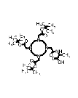 CC(NC(=O)CN1CCN(CC(=O)OC(C)(C)C)CCN(CC(=O)OC(C)(C)C)CCN(CC(=O)OC(C)(C)C)CC1)C(=O)O